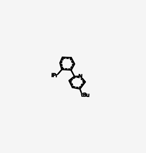 CC(C)c1ccccc1-c1ccc(C(C)(C)C)cn1